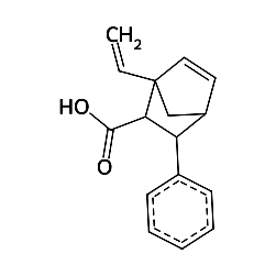 C=CC12C=CC(C1)C(c1ccccc1)C2C(=O)O